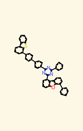 c1ccc(-c2nc(-c3ccc(-c4ccc(-c5cccc6c5sc5ccccc56)cc4)cc3)nc(-c3cccc4oc5c(-c6ccccc6)cccc5c34)n2)cc1